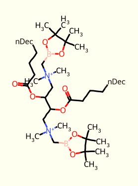 CCCCCCCCCCCCCC(=O)OC(C[N+](C)(C)CB1OC(C)(C)C(C)(C)O1)C(C[N+](C)(C)CB1OC(C)(C)C(C)(C)O1)OC(=O)CCCCCCCCCCCCC